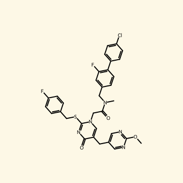 COc1ncc(Cc2cn(CC(=O)N(C)Cc3ccc(-c4ccc(Cl)cc4)c(F)c3)c(SCc3ccc(F)cc3)nc2=O)cn1